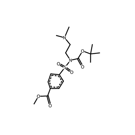 COC(=O)c1ccc(S(=O)(=O)N(CCN(C)C)C(=O)OC(C)(C)C)cc1